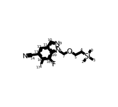 C[Si](C)(C)CCOCn1ncc2cc(C#N)c(I)c(F)c21